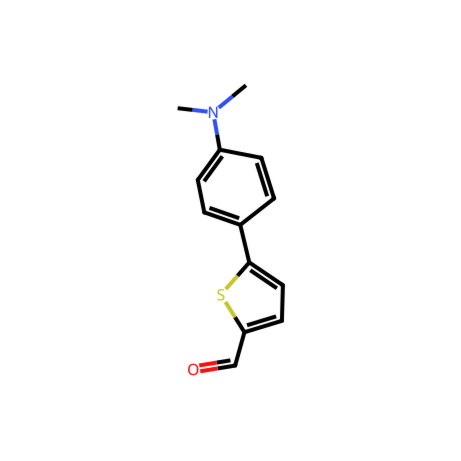 CN(C)c1ccc(-c2ccc(C=O)s2)cc1